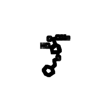 COC(=O)c1ccc(OCCC2CCCCC2)cc1O